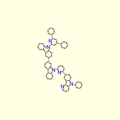 c1ccc(-c2cc(-c3ccccc3)nc(-n3c4ccccc4c4cc(-c5ccc6c7ccccc7n(-c7cccc(-c8ccc9c(c8)c8ncccc8n9-c8ccccc8)n7)c6c5)ccc43)c2)cc1